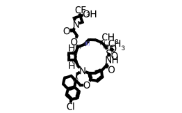 C[C@@H]1[C@@H](C)C/C=C/[C@H](OCC(=O)N2CC(O)(C(F)(F)F)C2)[C@@H]2CC[C@H]2CN2C[C@@]3(CCCc4cc(Cl)ccc43)COc3ccc(cc32)C(=O)NS1(=O)=O